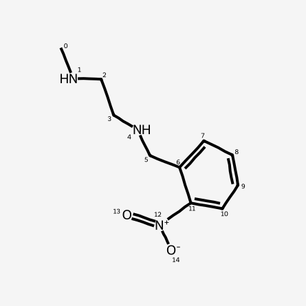 CNCCNCc1ccccc1[N+](=O)[O-]